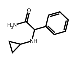 NC(=O)C(NC1CC1)c1ccccc1